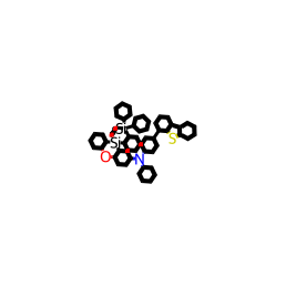 c1ccc(N(c2ccc(-c3cccc4c3sc3ccccc34)cc2)c2ccc3c(c2)[Si]2(c4ccccc4O3)c3ccccc3[Si](c3ccccc3)(c3ccccc3)c3ccccc32)cc1